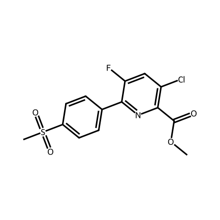 COC(=O)c1nc(-c2ccc(S(C)(=O)=O)cc2)c(F)cc1Cl